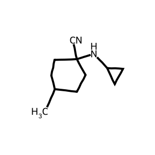 CC1CCC(C#N)(NC2CC2)CC1